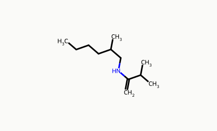 C=C(NCC(C)CCCC)C(C)C